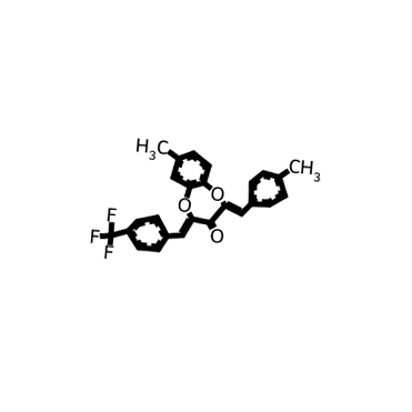 Cc1ccc(/C=C2\Oc3ccc(C)cc3O/C(=C\c3ccc(C(F)(F)F)cc3)C2=O)cc1